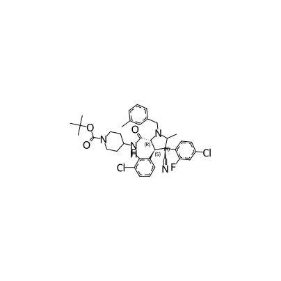 Cc1cccc(CN2C(C)[C@](C#N)(c3ccc(Cl)cc3F)[C@@H](c3cccc(Cl)c3F)[C@@H]2C(=O)NC2CCN(C(=O)OC(C)(C)C)CC2)c1